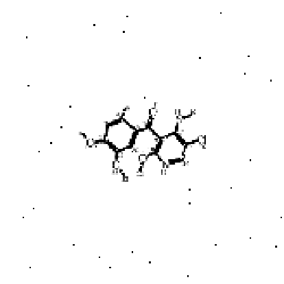 COc1cc(C)c(C(=O)c2c(OC)ncc(Cl)c2SC)cc1OC